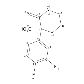 O=C(O)C1(c2ccc(F)c(F)c2)CCCNC1=S